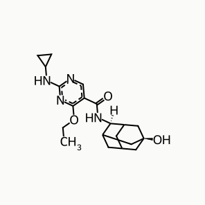 CCOc1nc(NC2CC2)ncc1C(=O)N[C@H]1C2CC3CC1C[C@@](O)(C3)C2